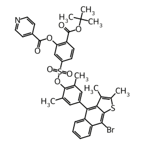 Cc1cc(-c2c3ccccc3c(Br)c3sc(C)c(C)c23)cc(C)c1OS(=O)(=O)c1ccc(C(=O)OC(C)(C)C)c(OC(=O)c2ccncc2)c1